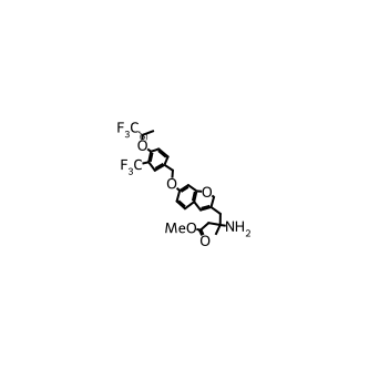 COC(=O)CC(C)(N)CC1=Cc2ccc(OCc3ccc(O[C@@H](C)C(F)(F)F)c(C(F)(F)F)c3)cc2OC1